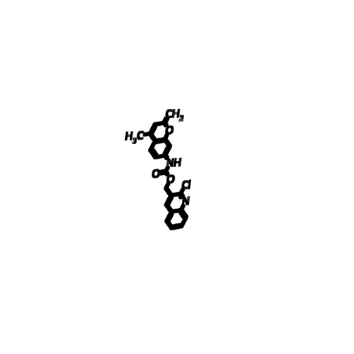 C=C1C=C(C)c2ccc(NC(=O)OCc3cc4ccccc4nc3Cl)cc2O1